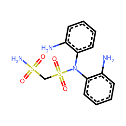 Nc1ccccc1N(c1ccccc1N)S(=O)(=O)CS(N)(=O)=O